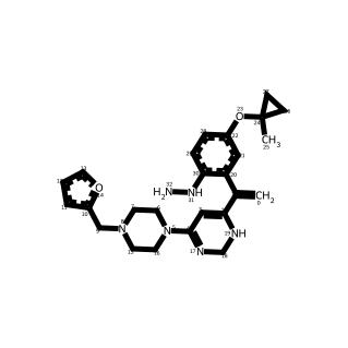 C=C(C1=CC(N2CCN(Cc3ccco3)CC2)=NCN1)c1cc(OC2(C)CC2)ccc1NN